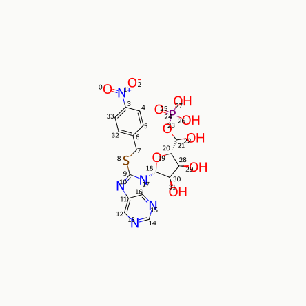 O=[N+]([O-])c1ccc(CSc2nc3cncnc3n2[C@@H]2O[C@H](C(O)OP(=O)(O)O)[C@@H](O)[C@H]2O)cc1